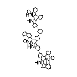 O=C1NC2=c3[nH]c4cc(-c5ccc6c(c5)c5c7ccccc7c(=O)[nH]c5c5c6[nH]c6ccc7ccccc7c65)ccc4c3=C3C=CC(c4cccc(-c5ccc6[nH]c7c8[nH]c(=O)c9ccccc9c8c8ccccc8c7c6c5)c4)=CC3C2c2ccc3ccccc3c21